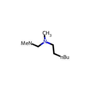 CCCCCCN(C)CNC